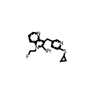 CC(C)c1c(Cc2ccc(SC3CC3)nc2)c2ncccc2n1CCF